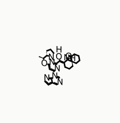 C[C@H](Oc1cc(-n2cncc3ccnc2-3)nc(/C(O)=C2\CCC[C@@]3(CCCCC3=O)C2=N)n1)[C@@H]1CCCN1C